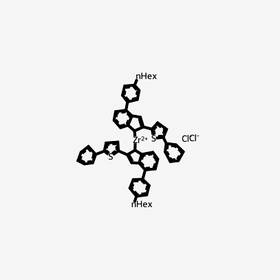 CCCCCCc1ccc(-c2cccc3c2C=C(c2ccc(-c4ccccc4)s2)[CH]3[Zr+2][CH]2C(c3ccc(-c4ccccc4)s3)=Cc3c(-c4ccc(CCCCCC)cc4)cccc32)cc1.[Cl-].[Cl-]